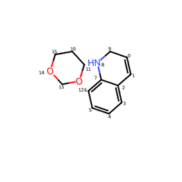 C1=Cc2ccccc2NC1.C1COCOC1